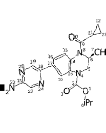 CC(C)OC(=O)N1C[C@H](C)N(C(=O)C2CC2)c2ccc(-c3cnc(N)cn3)cc21